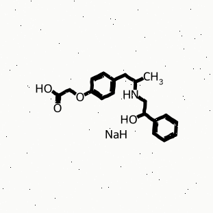 CC(Cc1ccc(OCC(=O)O)cc1)NCC(O)c1ccccc1.[NaH]